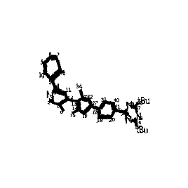 Cc1cnc(-c2ccccc2)cc1-c1c(C)cc(-c2ccc(-c3nc(C(C)(C)C)nc(C(C)(C)C)n3)cc2)cc1C